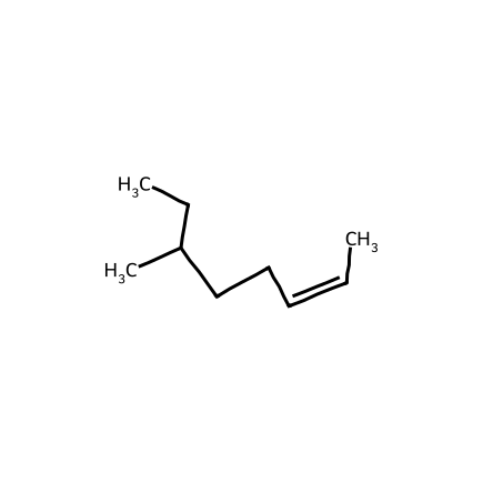 C/C=C\CCC(C)CC